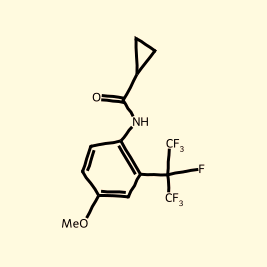 COc1ccc(NC(=O)C2CC2)c(C(F)(C(F)(F)F)C(F)(F)F)c1